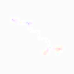 N#CNCCCCC(=O)O